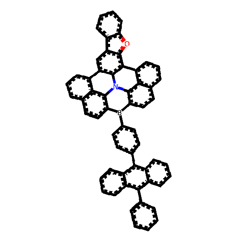 c1ccc(-c2c3ccccc3c(-c3ccc(B4c5ccc6cccc7c6c5N5c6c-7cc7c(oc8ccccc87)c6-c6cccc7ccc4c5c67)cc3)c3ccccc23)cc1